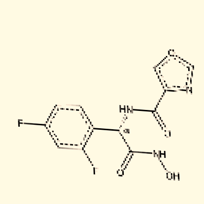 O=C(N[C@H](C(=O)NO)c1ccc(F)cc1F)c1cocn1